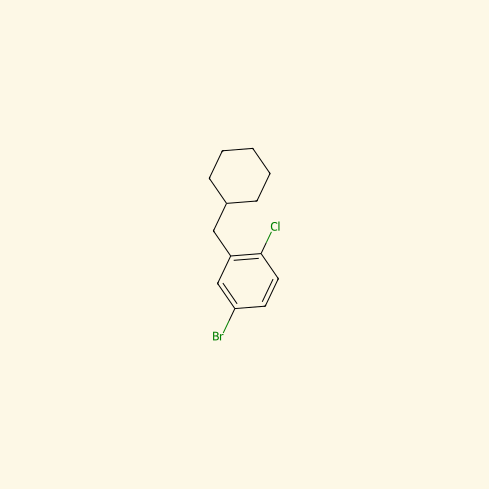 Clc1ccc(Br)cc1CC1CCCCC1